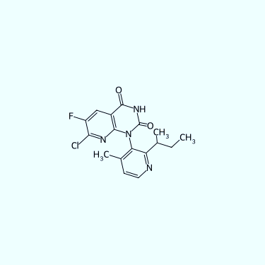 CCC(C)c1nccc(C)c1-n1c(=O)[nH]c(=O)c2cc(F)c(Cl)nc21